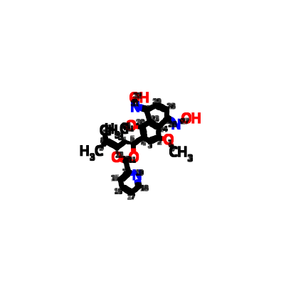 COc1cc([C@H](CC=C(C)C)OC(=O)c2ccccn2)c(OC)c2c1C(=NO)C=CC2=NO